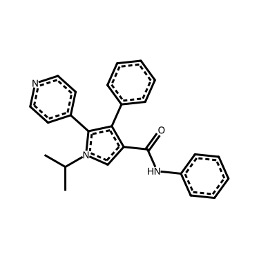 CC(C)n1cc(C(=O)Nc2ccccc2)c(-c2ccccc2)c1-c1ccncc1